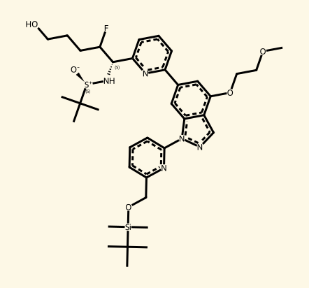 COCCOc1cc(-c2cccc([C@H](N[S@+]([O-])C(C)(C)C)C(F)CCCO)n2)cc2c1cnn2-c1cccc(CO[Si](C)(C)C(C)(C)C)n1